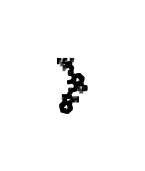 Cc1c(OCC(F)(F)C(F)(F)F)ccnc1CSc1nc2ccccc2[nH]1.O